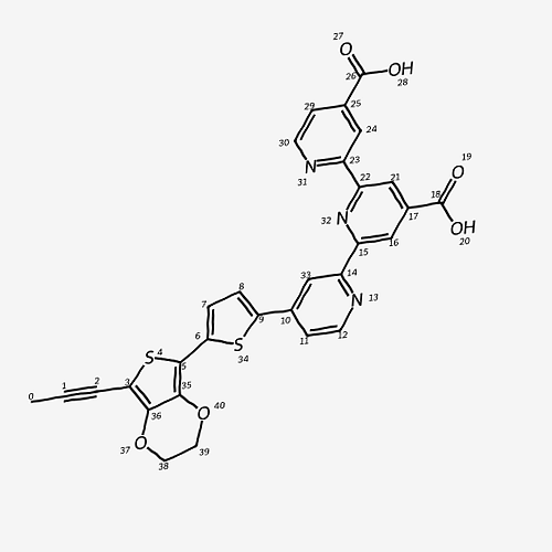 CC#Cc1sc(-c2ccc(-c3ccnc(-c4cc(C(=O)O)cc(-c5cc(C(=O)O)ccn5)n4)c3)s2)c2c1OCCO2